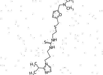 CC(C)c1nccn1CCCNC(=S)NCCSCc1ccc(CN(C)C)o1